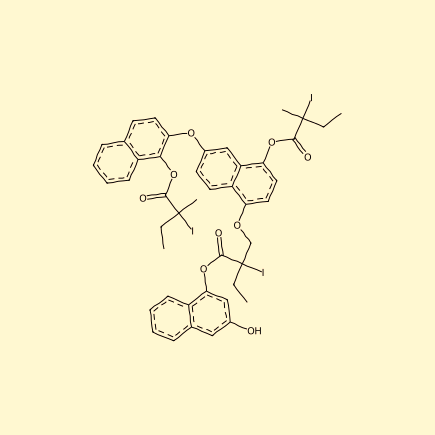 CCC(C)(I)C(=O)Oc1c(Oc2ccc3c(OCC(I)(CC)C(=O)Oc4cc(O)cc5ccccc45)ccc(OC(=O)C(C)(I)CC)c3c2)ccc2ccccc12